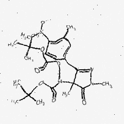 Cc1cc(C2=NN(C)C(=O)C2(C)N(OC(=O)OC(C)(C)C)C(=O)OC(C)(C)C)ccc1[S+](C)[O-]